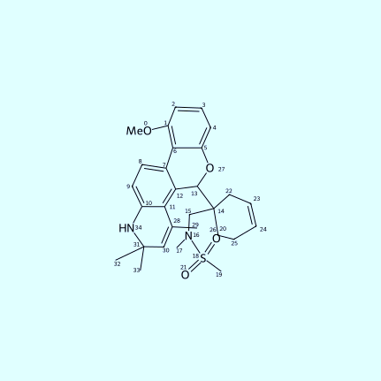 COc1cccc2c1-c1ccc3c(c1C(C1(CN(C)S(C)(=O)=O)CC=CCC1)O2)C(C)=CC(C)(C)N3